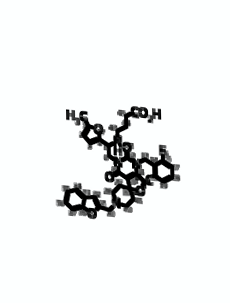 Cc1ccc(C(Cn2c(=O)c3c(n(Cc4c(F)cccc4C(F)(F)F)c2=O)COC32CCN(Cc3cc4ccccc4o3)CC2)NCCCC(=O)O)o1